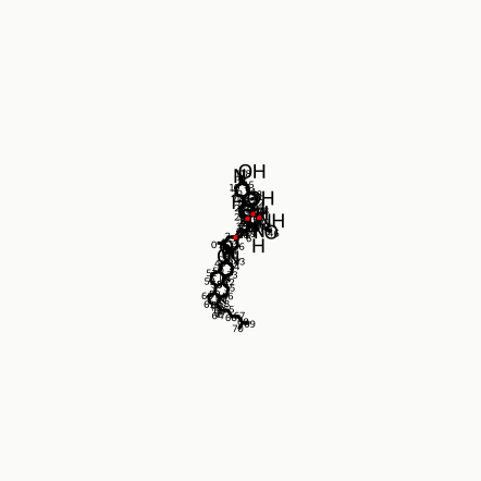 CC(CCC[C@@H](C)[C@H]1CC[C@H]2[C@@H]3CCC4=CC(=NO)CC[C@]4(CO)[C@H]3CC[C@]12C)=NOC1(N(C)C(=O)CCCC[C@@H]2SC[C@@H]3NC(=O)N[C@@H]32)C=C2CCC3C(CC[C@@]4(C)C3CC[C@@H]4[C@H](C)CCCC(C)C)[C@@]2(C)CC1